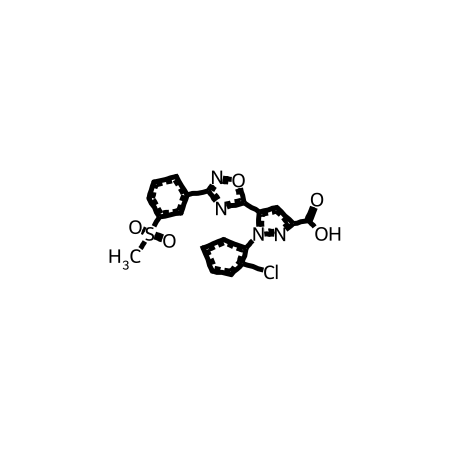 CS(=O)(=O)c1cccc(-c2noc(-c3cc(C(=O)O)nn3-c3ccccc3Cl)n2)c1